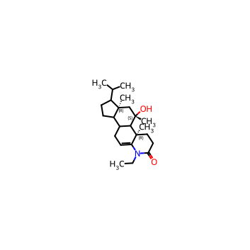 CCN1C(=O)CC[C@@]2(C)C1=CCC1C3CCC(C(C)C)[C@@]3(C)C[C@](C)(O)C12